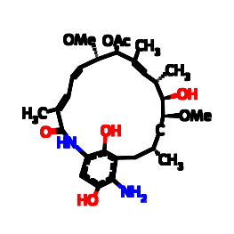 CO[C@H]1/C=C\C=C(/C)C(=O)Nc2cc(O)c(N)c(c2O)C[C@@H](C)C[C@H](OC)[C@H](O)[C@@H](C)/C=C(\C)[C@@H]1OC(C)=O